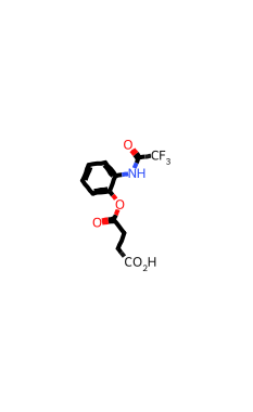 O=C(O)CCC(=O)Oc1ccccc1NC(=O)C(F)(F)F